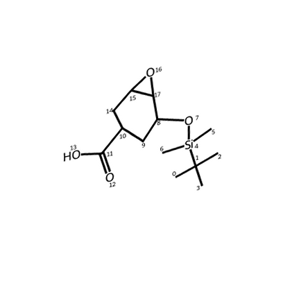 CC(C)(C)[Si](C)(C)OC1CC(C(=O)O)CC2OC21